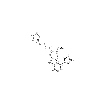 COc1cc2c(cc1OCCCN1CCCC1)[nH]c1ccnc(-n3cnnc3)c12